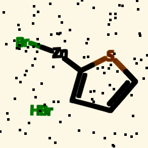 Br.[Br][Zn][c]1cccs1